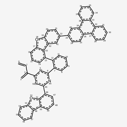 C=CC(=C)c1nc(-c2ccccc2-c2cccc3oc4ccc(-c5ccc6c7ccccc7c7ccccc7c6c5)cc4c23)nc(-c2cccc3c2oc2ccccc23)n1